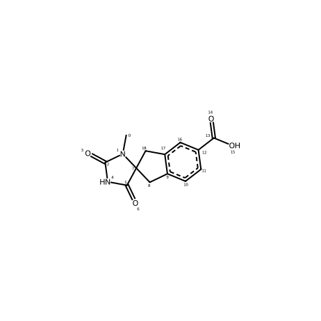 CN1C(=O)NC(=O)C12Cc1ccc(C(=O)O)cc1C2